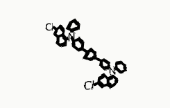 Clc1ccc2c(N(c3ccccc3)c3ccc(-c4ccc(-c5ccc(N(c6ccccc6)c6cccc7cc(Cl)ccc67)cc5)cc4)cc3)cccc2c1